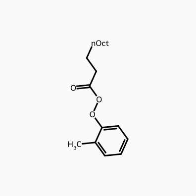 CCCCCCCCCCC(=O)OOc1ccccc1C